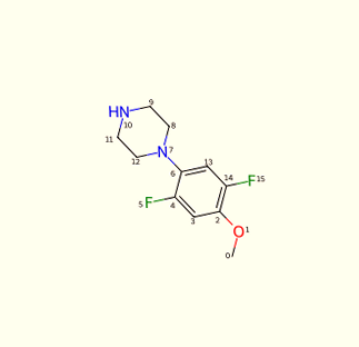 COc1cc(F)c(N2CCNCC2)cc1F